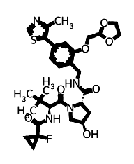 Cc1ncsc1-c1ccc(CNC(=O)[C@@H]2C[C@@H](O)CN2C(=O)[C@@H](NC(=O)C2(F)CC2)C(C)(C)C)c(OCC2OCCO2)c1